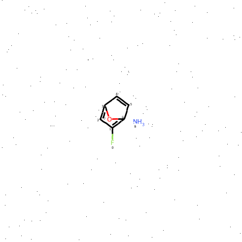 Fc1cc2ccc1o2.N